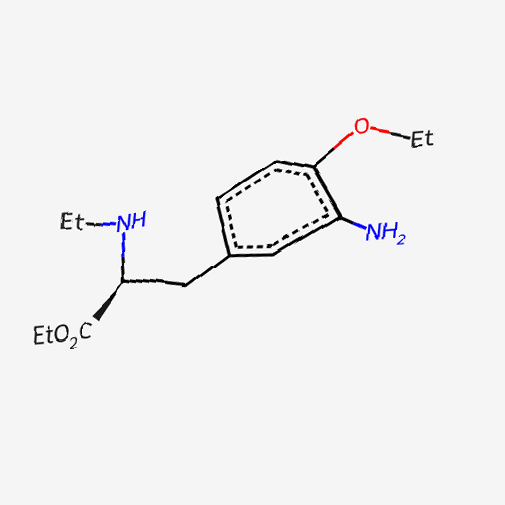 CCN[C@@H](Cc1ccc(OCC)c(N)c1)C(=O)OCC